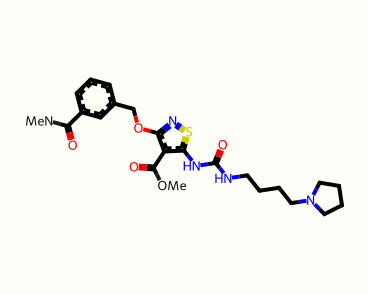 CNC(=O)c1cccc(COc2nsc(NC(=O)NCCCCN3CCCC3)c2C(=O)OC)c1